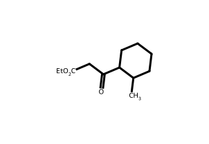 CCOC(=O)CC(=O)C1CCCCC1C